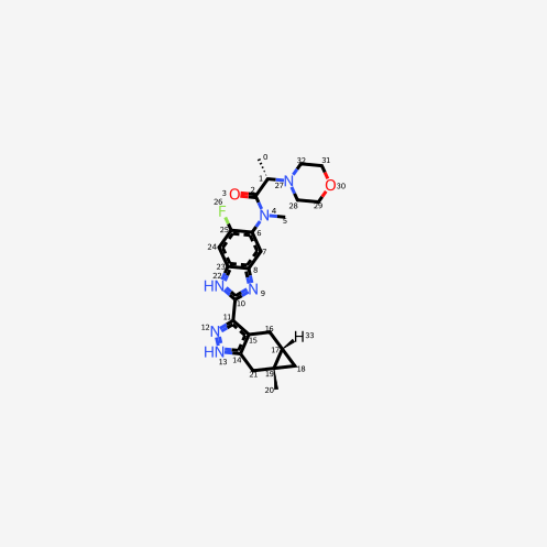 C[C@@H](C(=O)N(C)c1cc2nc(-c3n[nH]c4c3C[C@@H]3C[C@]3(C)C4)[nH]c2cc1F)N1CCOCC1